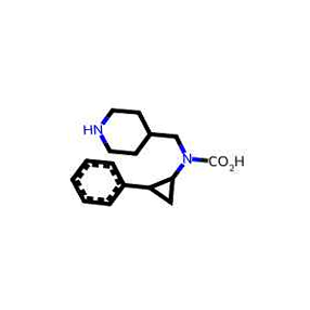 O=C(O)N(CC1CCNCC1)C1CC1c1ccccc1